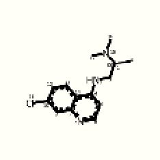 C[C@@H](CNc1ccnc2cc(Cl)ccc12)N(C)C